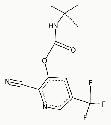 CC(C)(C)NC(=O)Oc1cc(C(F)(F)F)cnc1C#N